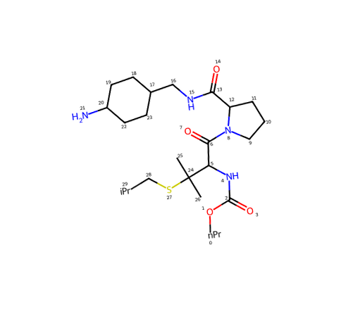 CCCOC(=O)NC(C(=O)N1CCCC1C(=O)NCC1CCC(N)CC1)C(C)(C)SCC(C)C